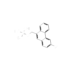 CC(C)(C)[Si](C)(C)OCc1cc2ccc(Br)cc2c2ccccc12